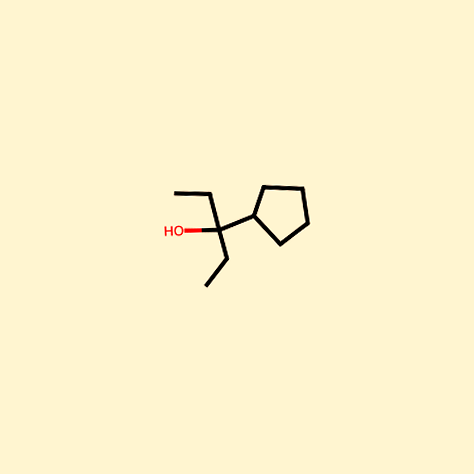 CCC(O)(CC)C1CCCC1